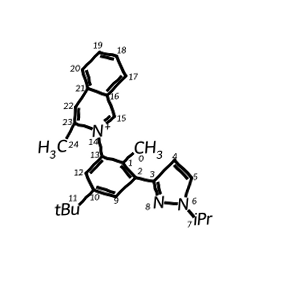 Cc1c(-c2ccn(C(C)C)n2)cc(C(C)(C)C)cc1-[n+]1cc2ccccc2cc1C